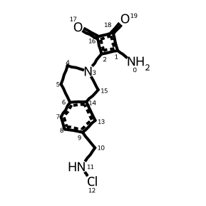 Nc1c(N2CCc3ccc(CNCl)cc3C2)c(=O)c1=O